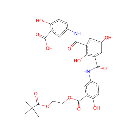 CC(C)(C)C(=O)OCCOC(=O)c1cc(NC(=O)c2cc(O)cc(C(=O)Nc3ccc(O)c(C(=O)O)c3)c2O)ccc1O